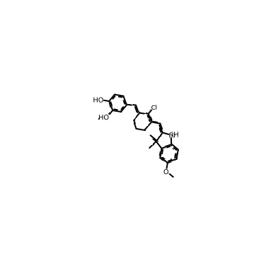 COc1ccc2c(c1)C(C)(C)/C(=C\C1=C(Cl)C(=C/c3ccc(O)c(O)c3)/CCC1)B2